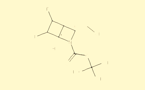 CC(C)(C)OC(=O)N1[C@H]2C(F)C(F)C2[C@@H]1CO